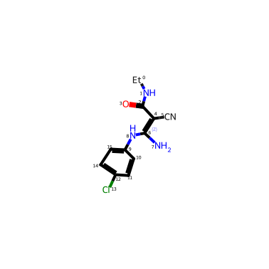 CCNC(=O)/C(C#N)=C(/N)Nc1ccc(Cl)cc1